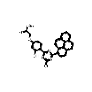 CCCCC(CC)COc1ccc(-c2nc(Cl)nc(-c3ccc4ccc5cccc6ccc3c4c56)n2)c(O)c1